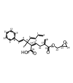 C=CC=CC(C)(C=Cc1ccccc1)C(=CCC(=C)C(=O)OCC1CO1)C(=O)O